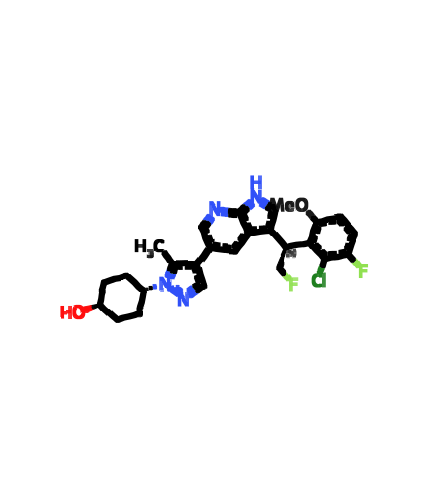 COc1ccc(F)c(Cl)c1[C@@H](CF)c1c[nH]c2ncc(-c3cnn([C@H]4CC[C@H](O)CC4)c3C)cc12